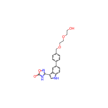 O=c1[nH]c(-c2c[nH]c3ccc(-c4ccc(COCCOCCO)cc4)cc23)no1